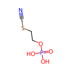 N#CSCCOP(=O)(O)O